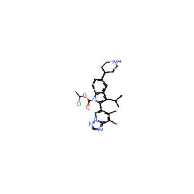 Cc1c(-c2c(C(C)C)c3cc(C4CCNCC4)ccc3n2C(=O)OC(C)Cl)cn2ncnc2c1C